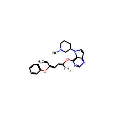 C=C/C(=C\C=C(/C)Oc1ncnc2ccn(C3CCCN(C#N)C3)c12)Oc1ccccc1